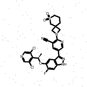 C[C@@H](Oc1cc2c(-c3cnc(N4CC5(CCCS(=O)(=O)C5)C4)c(C#N)c3)n[nH]c2cc1F)c1c(Cl)cncc1Cl